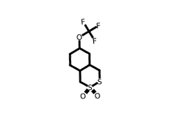 O=S1(=O)CC2CCC(OC(F)(F)F)CC2CS1